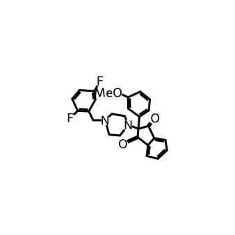 COc1cccc(C2(N3CCN(Cc4cc(F)ccc4F)CC3)C(=O)c3ccccc3C2=O)c1